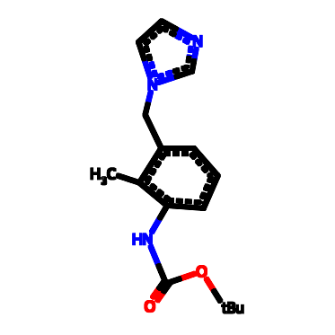 Cc1c(Cn2ccnc2)cccc1NC(=O)OC(C)(C)C